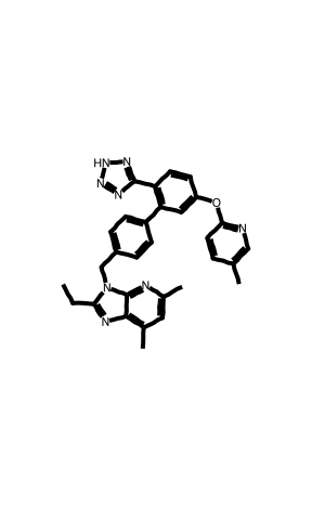 CCc1nc2c(C)cc(C)nc2n1Cc1ccc(-c2cc(Oc3ccc(C)cn3)ccc2-c2nn[nH]n2)cc1